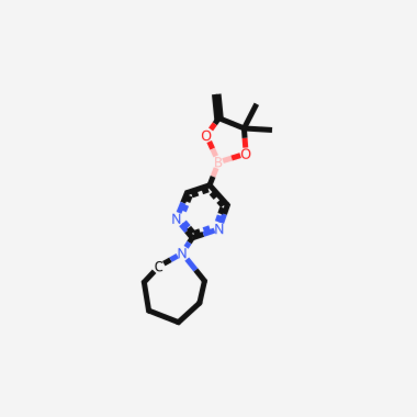 C=C1OB(c2cnc(N3CCCCCC3)nc2)OC1(C)C